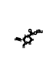 C#C[C@@H]1CN(C(=O)OC(C)(C)C)CCN1C